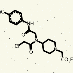 CCOC(=O)CN1CCC(N(CC(=O)Nc2ccc(C#N)cc2)C(=O)CCl)CC1